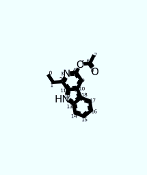 CCc1nc(OC(C)=O)cc2c1[nH]c1ccccc12